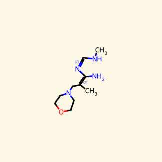 CN/C=N\C(N)=C(\C)CN1CCOCC1